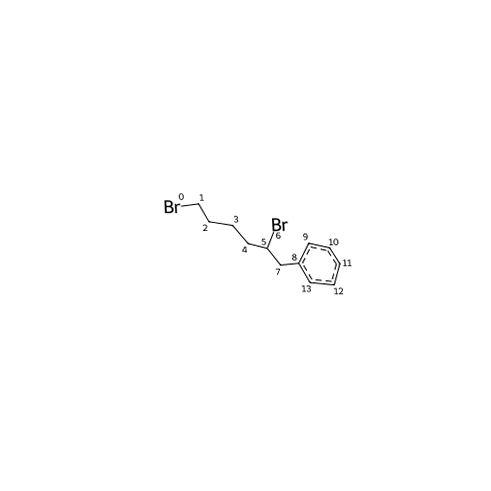 BrCCCCC(Br)Cc1ccccc1